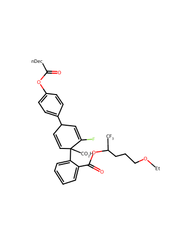 CCCCCCCCCCC(=O)Oc1ccc(C2C=CC(C(=O)O)(c3ccccc3C(=O)OC(CCCOCC)C(F)(F)F)C(F)=C2)cc1